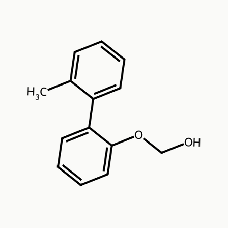 Cc1ccccc1-c1ccccc1OCO